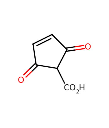 O=C(O)C1C(=O)C=CC1=O